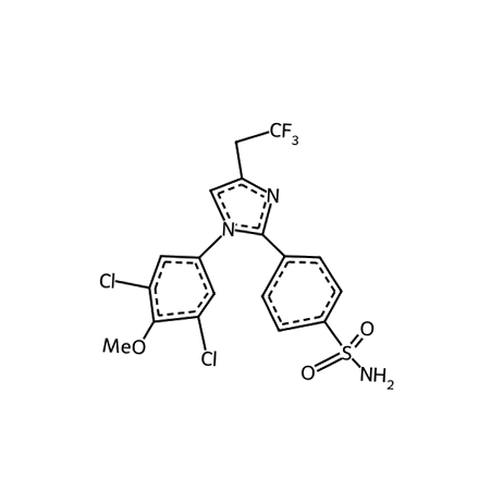 COc1c(Cl)cc(-n2cc(CC(F)(F)F)nc2-c2ccc(S(N)(=O)=O)cc2)cc1Cl